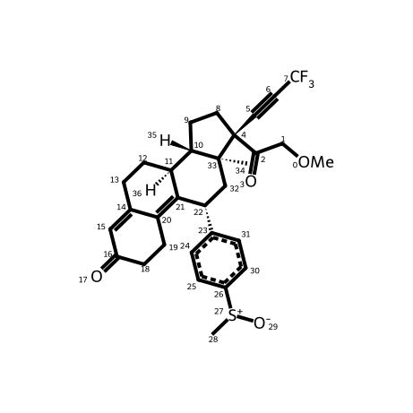 COCC(=O)[C@@]1(C#CC(F)(F)F)CC[C@H]2[C@@H]3CCC4=CC(=O)CCC4=C3[C@@H](c3ccc([S+](C)[O-])cc3)C[C@@]21C